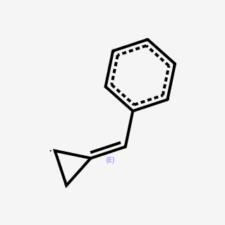 [CH]1C/C1=C/c1ccccc1